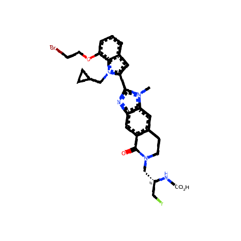 Cn1c(-c2cc3cccc(OCCBr)c3n2CC2CC2)nc2cc3c(cc21)CCN(C[C@@H](CF)NC(=O)O)C3=O